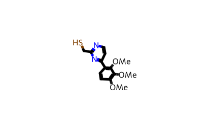 COc1ccc(-c2ccnc(CS)n2)c(OC)c1OC